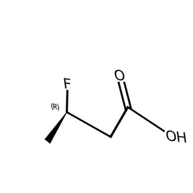 C[C@@H](F)CC(=O)O